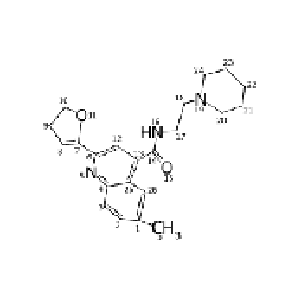 Cc1ccc2nc(C3=CCCO3)cc(C(=O)NCCN3CCCCC3)c2c1